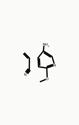 C=CC#N.COc1ccc(N)cn1